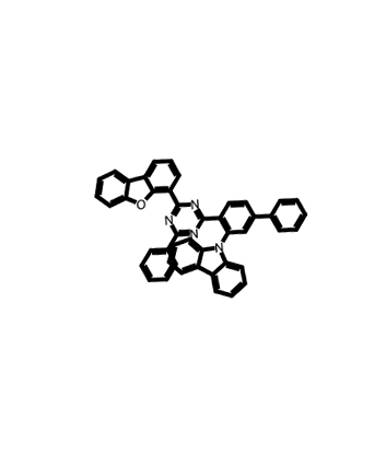 c1ccc(-c2ccc(-c3nc(-c4ccccc4)nc(-c4cccc5c4oc4ccccc45)n3)c(-n3c4ccccc4c4ccccc43)c2)cc1